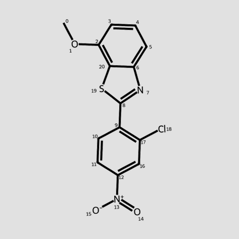 COc1cccc2nc(-c3ccc([N+](=O)[O-])cc3Cl)sc12